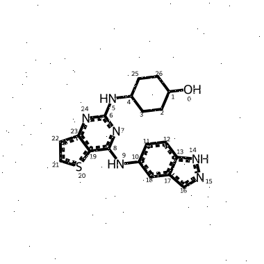 OC1CCC(Nc2nc(Nc3ccc4[nH]ncc4c3)c3sccc3n2)CC1